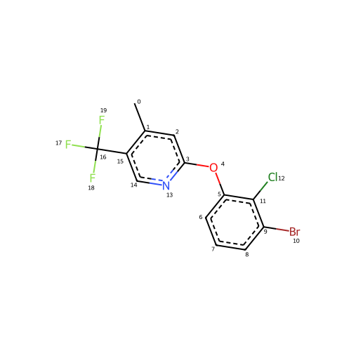 Cc1cc(Oc2cccc(Br)c2Cl)ncc1C(F)(F)F